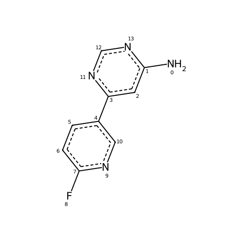 Nc1cc(-c2ccc(F)nc2)ncn1